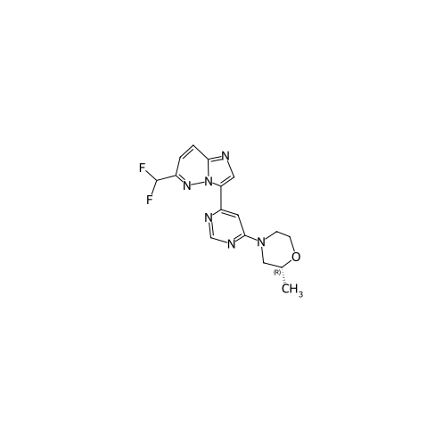 C[C@@H]1CN(c2cc(-c3cnc4ccc(C(F)F)nn34)ncn2)CCO1